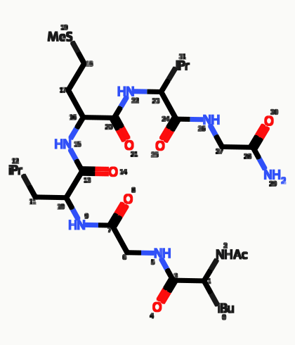 CCC(C)C(NC(C)=O)C(=O)NCC(=O)NC(CC(C)C)C(=O)NC(CCSC)C(=O)NC(C(=O)NCC(N)=O)C(C)C